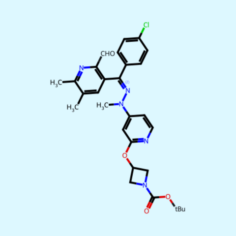 Cc1cc(/C(=N\N(C)c2ccnc(OC3CN(C(=O)OC(C)(C)C)C3)c2)c2ccc(Cl)cc2)c(C=O)nc1C